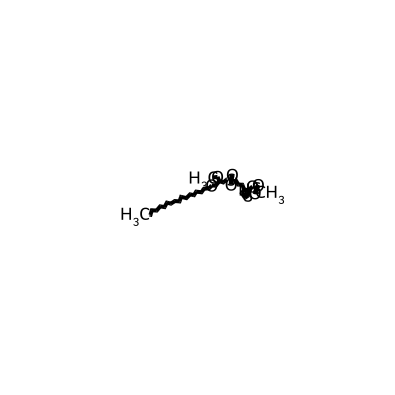 CCCCCCCCCCCCCCCCCCOCC(CCS(=O)(=O)CCCN1C=CSC1OS(C)(=O)=O)OC